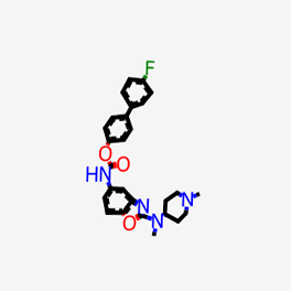 CN1CCC(N(C)c2nc3cc(NC(=O)Oc4ccc(-c5ccc(F)cc5)cc4)ccc3o2)CC1